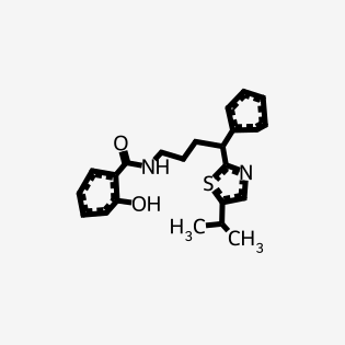 CC(C)c1cnc(C(CCCNC(=O)c2ccccc2O)c2ccccc2)s1